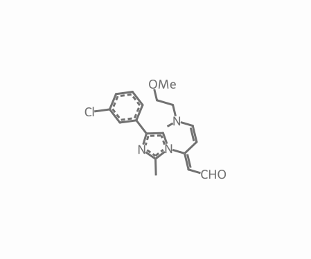 COCCN(C)/C=C\C(=C/C=O)n1cc(-c2cccc(Cl)c2)nc1C